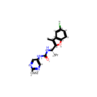 COc1ncc(NC(=O)N[C@H](c2oc3ccc(F)cc3c2C)C(C)C)cn1